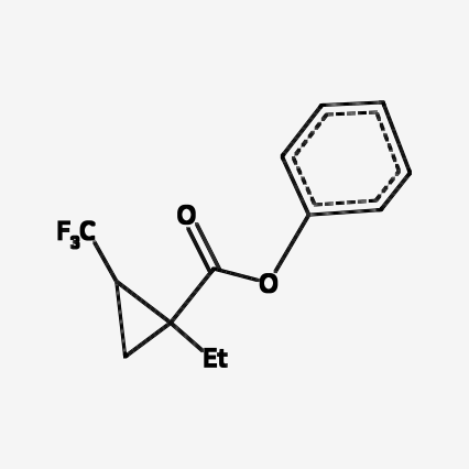 CCC1(C(=O)Oc2ccccc2)CC1C(F)(F)F